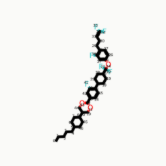 CCCCCC1CCC(C2COC(c3ccc(C4CCC(C(F)(F)Oc5ccc(CCC=C(F)F)c(F)c5)CC4)c(F)c3)OC2)CC1